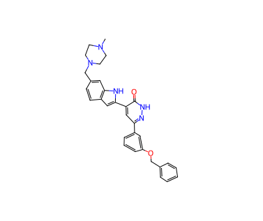 CN1CCN(Cc2ccc3cc(-c4cc(-c5cccc(OCc6ccccc6)c5)n[nH]c4=O)[nH]c3c2)CC1